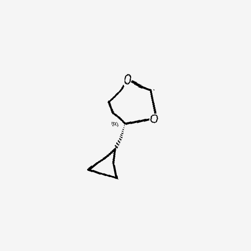 [CH]1OC[C@@H](C2CC2)O1